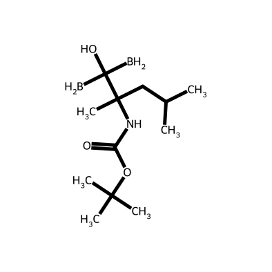 BC(B)(O)C(C)(CC(C)C)NC(=O)OC(C)(C)C